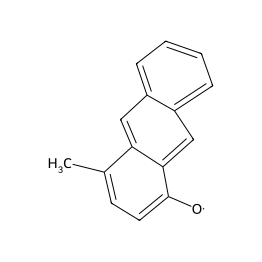 Cc1ccc([O])c2cc3ccccc3cc12